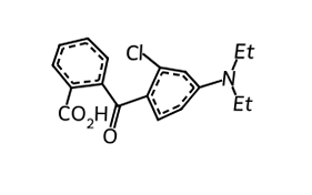 CCN(CC)c1ccc(C(=O)c2ccccc2C(=O)O)c(Cl)c1